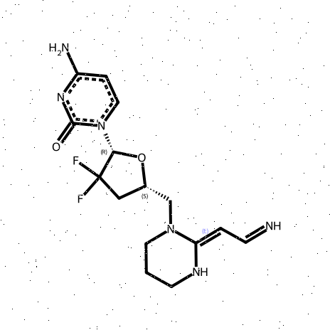 N=C/C=C1\NCCCN1C[C@@H]1CC(F)(F)[C@H](n2ccc(N)nc2=O)O1